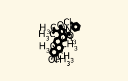 CC(C)C1=C2C3CCC4[C@@]5(C)CC[C@H](O)C(C)(C)C5CC[C@@]4(C)[C@]3(C)CC[C@@]2(C(=O)Nc2ccccc2Cl)CC1=O